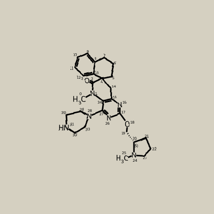 CN1C(=O)C2(CCCc3ccccc32)Cc2nc(OC[C@@H]3CCCN3C)nc(N3CCNCC3)c21